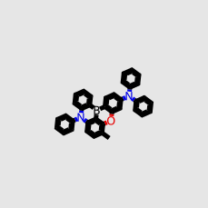 Cc1ccc2c3c1Oc1cc(N(c4ccccc4)c4ccccc4)ccc1B3c1ccccc1N2c1ccccc1